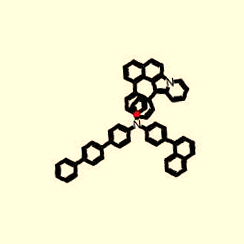 c1ccc(-c2ccc(-c3ccc(N(c4ccc(-c5cccc6ccccc56)cc4)c4ccc(-c5cccc6ccc7c(c(-c8ccccc8)c8ccccn87)c56)cc4)cc3)cc2)cc1